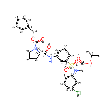 CC(C)OC(=O)CN(c1cccc(Cl)c1)S(=O)(=O)c1cccc(NC(=O)[C@@H]2CCCN2C(=O)OCc2ccccc2)c1